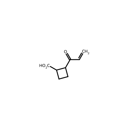 C=CC(=O)C1CCC1C(=O)O